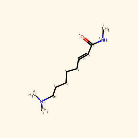 CNC(=O)/C=C/CCCCCN(C)C